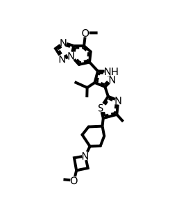 COc1cc(-c2[nH]nc(-c3nc(C)c(C4CCC(N5CC(OC)C5)CC4)s3)c2C(C)C)cn2ncnc12